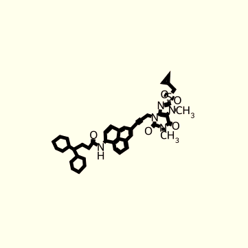 Cn1c(=O)c2c(nc(S(=O)(=O)CC3CC3)n2C)n(CC#Cc2cc3c4c(cccc4c2)C(NC(=O)CCC(C2CCCCC2)C2CCCCC2)C=C3)c1=O